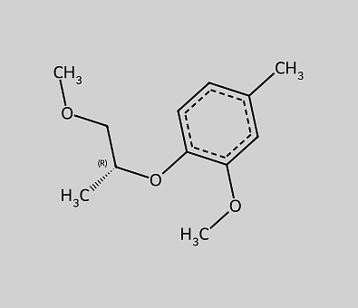 COC[C@@H](C)Oc1ccc(C)cc1OC